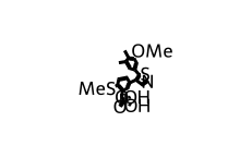 COc1cc(-c2sncc2-c2ccc(SC)c(OP(=O)(O)O)c2)cc(C)c1C